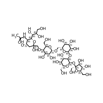 CC(=O)N[C@H]1[C@H]([C@H](O)[C@H](O)CO)O[C@](O)(CO[C@@H]2[C@H](O)[C@@H](O)[C@@H](OC[C@H]3O[C@H](O[C@H]4[C@@H](O[C@]5(CO)O[C@H](CO)[C@@H](O)[C@@H]5O)O[C@H](CO)[C@@H](O)[C@@H]4O)[C@H](O)[C@@H](O)[C@H]3O)O[C@@H]2CO)C[C@@H]1O